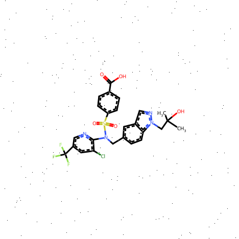 CC(C)(O)Cn1ncc2cc(CN(c3ncc(C(F)(F)F)cc3Cl)S(=O)(=O)c3ccc(C(=O)O)cc3)ccc21